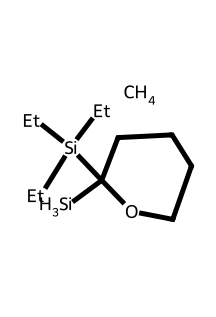 C.CC[Si](CC)(CC)C1([SiH3])CCCCO1